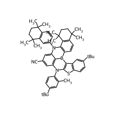 Cc1cc(C(C)(C)C)ccc1N1c2cc(C#N)cc3c2B(c2ccc4c(c2N3c2ccc3c(c2)C(C)(C)CCC3(C)C)C(C)(C)CCC4(C)C)c2c1sc1ccc(C(C)(C)C)cc21